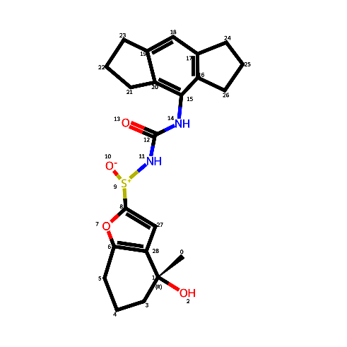 C[C@@]1(O)CCCc2oc([S+]([O-])NC(=O)Nc3c4c(cc5c3CCC5)CCC4)cc21